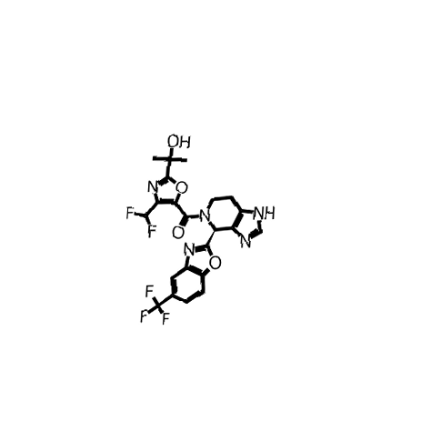 CC(C)(O)c1nc(C(F)F)c(C(=O)N2CCc3[nH]cnc3[C@H]2c2nc3cc(C(F)(F)F)ccc3o2)o1